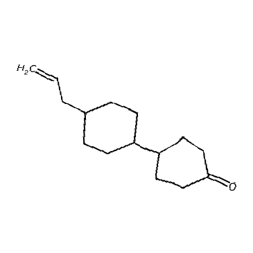 C=CCC1CCC(C2CCC(=O)CC2)CC1